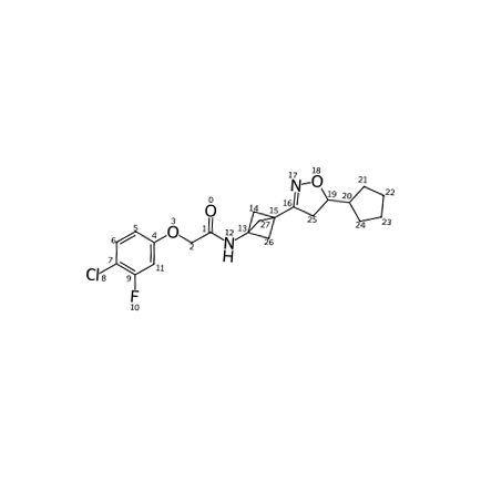 O=C(COc1ccc(Cl)c(F)c1)NC12CC(C3=NOC(C4CCCC4)C3)(C1)C2